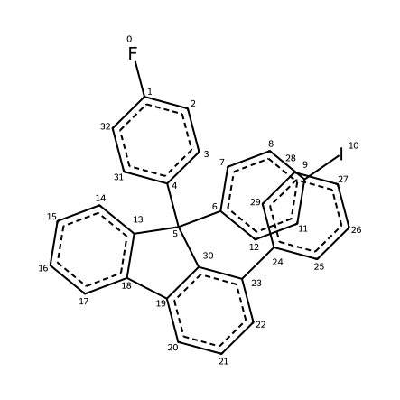 Fc1ccc(C2(c3ccc(I)cc3)c3ccccc3-c3cccc(-c4ccccc4)c32)cc1